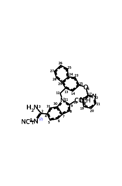 N#C/N=C(\N)c1ccc2cc(C(=O)O)n(Cc3cc(Oc4ncccn4)cc4ccccc34)c2c1